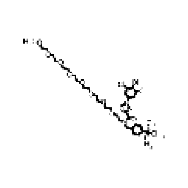 COCCOCCOCCOCCOCCOCCOCCOCCN(Cc1ccc(C(C)(C)C)cc1)C(=O)c1ncn(-c2cc(Cl)c(O)c(Cl)c2)n1